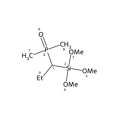 CCC([Si](OC)(OC)OC)P(C)(C)=O